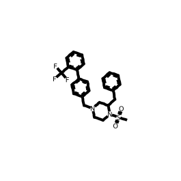 CS(=O)(=O)N1CCN(Cc2ccc(-c3ccccc3C(F)(F)F)cc2)CC1Cc1ccccc1